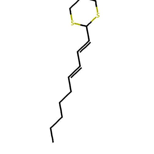 CCCCC/C=C/C=C/C1SCCCS1